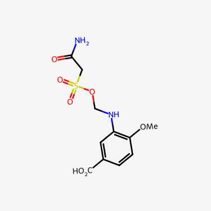 COc1ccc(C(=O)O)cc1NCOS(=O)(=O)CC(N)=O